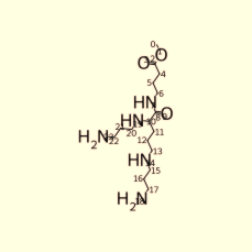 COC(=O)CCCNC(=O)C(CCCNCCCN)NCCCN